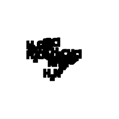 C=C(/C=C/C(N)=C/C=C1/N(CCCN)c2ccc(Cl)cc2C1(C)C)C(C)(C)c1cc(Cl)ccc1C